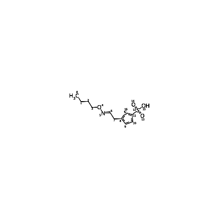 CCCCON=CCc1ccc(S(=O)(=O)O)s1